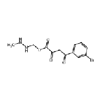 CNNCOC(=O)C(=O)CC(=O)c1cccc(Br)c1